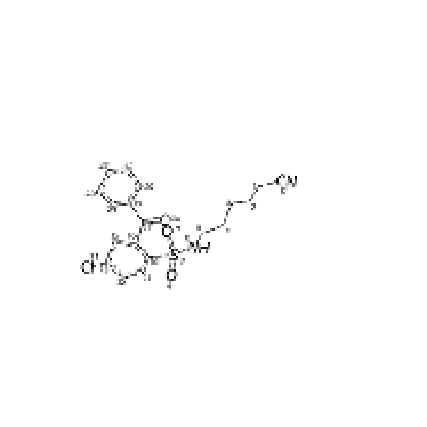 N#CCCCCCNS(=O)(=O)c1ccc(Cl)cc1C(=O)c1ccccc1